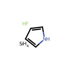 F.[SiH4].c1cc[nH]c1